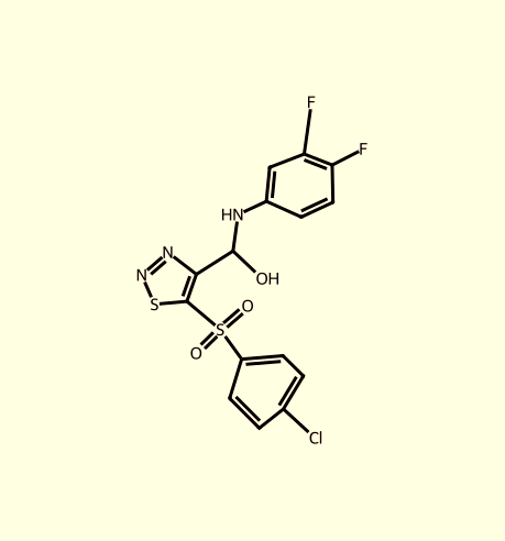 O=S(=O)(c1ccc(Cl)cc1)c1snnc1C(O)Nc1ccc(F)c(F)c1